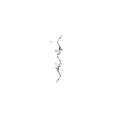 CC(C)/N=C/C=N/C(C)C